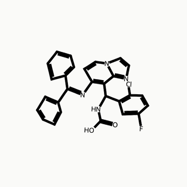 O=C(O)NC(c1cc(F)ccc1Cl)c1c(N=C(c2ccccc2)c2ccccc2)ccn2ccnc12